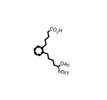 CCCCCCCC[C@@H](CCCCc1ccccc1CCCCC(=O)O)OC(C)=O